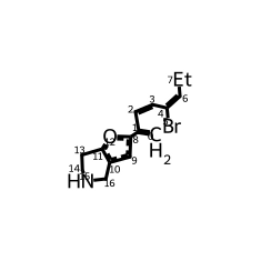 C=C(/C=C\C(Br)=C/CC)c1cc2c(o1)CCNC2